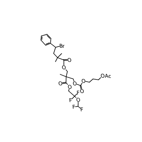 CC(=O)OCCCOC(=O)OCC(C)(COC(=O)C(C)(C)CC(Br)c1ccccc1)C(=O)OCC(F)(F)OC(F)F